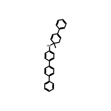 CC1(Nc2ccc(-c3ccc(-c4ccccc4)cc3)cc2)C=CC(c2ccccc2)=CC1